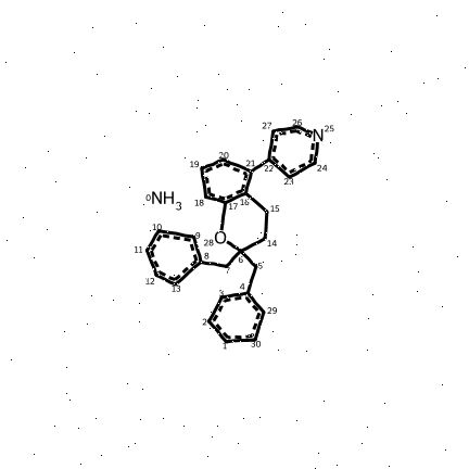 N.c1ccc(CC2(Cc3ccccc3)CCc3c(cccc3-c3ccncc3)O2)cc1